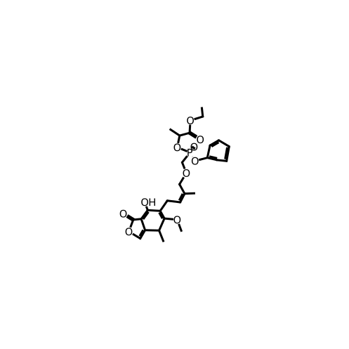 CCOC(=O)C(C)OP(=O)(COCC(C)=CCC1=C(OC)C(C)C2=COC(=O)C2=C1O)Oc1ccccc1